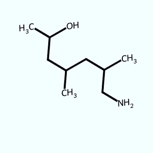 CC(O)CC(C)CC(C)CN